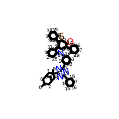 CC1CC2CC(C1)CC(C)(c1nc(-c3ccccc3)nc(-c3cccc(-n4c5ccccc5c5c6c7ccccc7sc6c6oc7ccccc7c6c54)c3)n1)C2